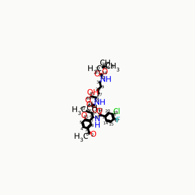 CC(=O)c1ccc2c(c1)[C@@H](NC(=O)c1ccc(F)c(Cl)c1)[C@H](OC(=O)N[C@@H](CCCCNC(=O)OC(C)(C)C)C(=O)O)C(C)(C)O2